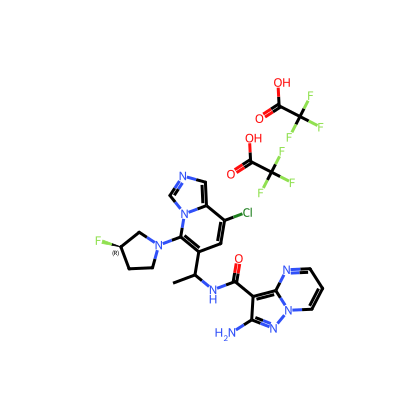 CC(NC(=O)c1c(N)nn2cccnc12)c1cc(Cl)c2cncn2c1N1CC[C@@H](F)C1.O=C(O)C(F)(F)F.O=C(O)C(F)(F)F